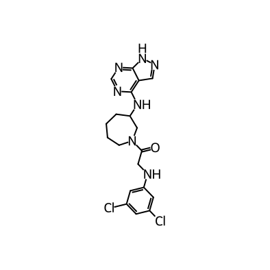 O=C(CNc1cc(Cl)cc(Cl)c1)N1CCCCC(Nc2ncnc3[nH]ncc23)C1